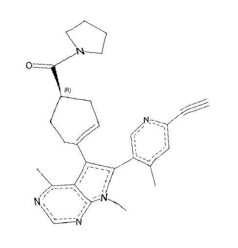 C#Cc1cc(C)c(-c2c(C3=CC[C@H](C(=O)N4CCCC4)CC3)c3c(C)ncnc3n2C)cn1